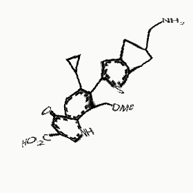 COc1c(-c2cc3c(s2)CCC(CN)C3)c(C2CC2)cc2c(=O)c(C(=O)O)c[nH]c12